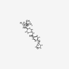 CC(C)(C)S(=O)(=O)NC1CCC(CNc2ccc(OC3CCOCC3)cc2)CC1